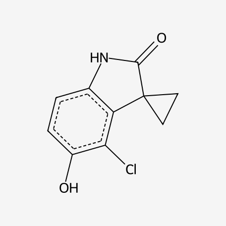 O=C1Nc2ccc(O)c(Cl)c2C12CC2